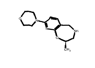 C[C@@H]1CNCc2ccc(N3CCOCC3)nc2O1